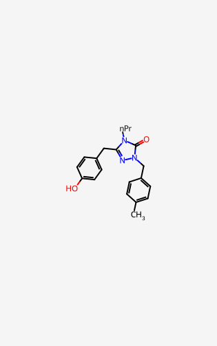 CCCn1c(Cc2ccc(O)cc2)nn(Cc2ccc(C)cc2)c1=O